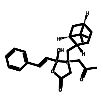 CC(=O)C[N+]1(C[C@H]2CC[C@@H]3C[C@H]2C3(C)C)CC(=O)O[B-]1(O)/C=C/c1ccccc1